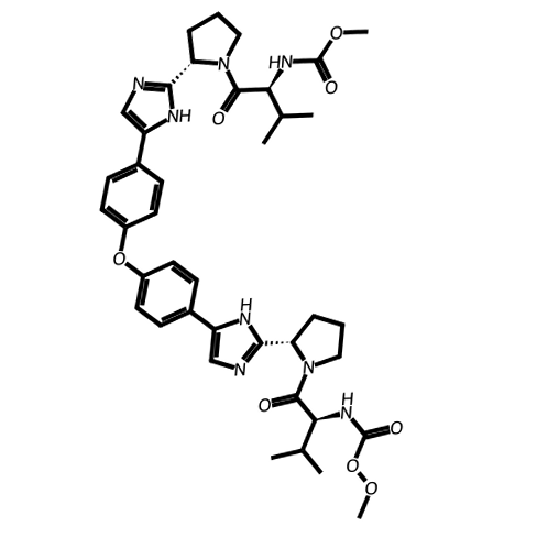 COOC(=O)N[C@H](C(=O)N1CCC[C@H]1c1ncc(-c2ccc(Oc3ccc(-c4cnc([C@@H]5CCCN5C(=O)[C@@H](NC(=O)OC)C(C)C)[nH]4)cc3)cc2)[nH]1)C(C)C